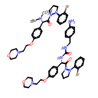 CC(C)(C)N(C(=O)O)[C@H](C(=O)N1CCCN1c1ccccc1Br)c1ccc(OCCN2CCOCC2)cc1.Nc1ccc(CNC(=O)N[C@H](C(=O)N2CCCN2c2ccccc2Br)c2ccc(OCCN3CCOCC3)cc2)cc1